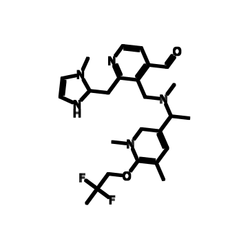 CC1=C(OCC(C)(F)F)N(C)CC(C(C)N(C)Cc2c(C=O)ccnc2CC2NC=CN2C)=C1